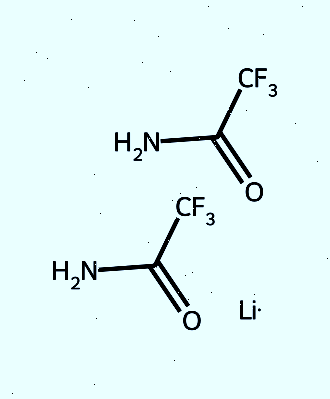 NC(=O)C(F)(F)F.NC(=O)C(F)(F)F.[Li]